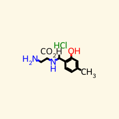 Cc1ccc(C(NCCN)C(=O)O)c(O)c1.Cl